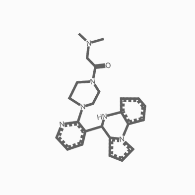 CN(C)CC(=O)N1CCN(c2ncccc2C2Nc3ccccc3-n3cccc32)CC1